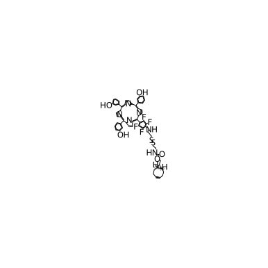 O=C(NCCSSCCNc1c(F)c(F)c(C2=C3C=CC(=N3)C(c3cccc(O)c3)=C3C=CC(=N3)C(c3cccc(O)c3)=C3C=CC(=N3)C(c3cccc(O)c3)=C3C=CC2=N3)c(F)c1F)OCC1[C@H]2CCC#CCC[C@@H]12